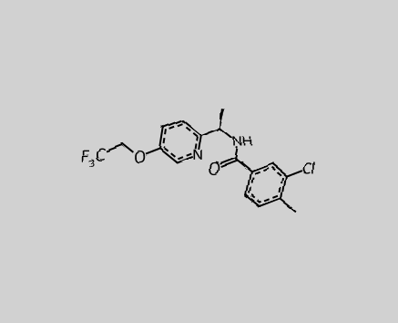 Cc1ccc(C(=O)N[C@H](C)c2ccc(OCC(F)(F)F)cn2)cc1Cl